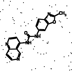 Cc1nc2ccc(NC(=O)Nc3ccnc4ccncc34)cc2o1